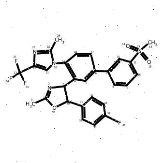 CC1=NC(c2cc(-c3cccc(S(C)(=O)=O)c3)ccc2-n2cc(C(F)(F)F)nc2C)C(c2ccc(F)cc2)O1